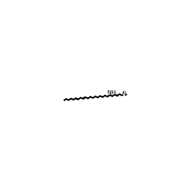 CCCCCC=CCC=CCCCCCCCCCC(N)CCCCCN(C)C